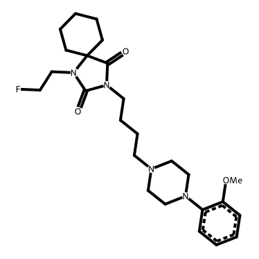 COc1ccccc1N1CCN(CCCCN2C(=O)N(CCF)C3(CCCCC3)C2=O)CC1